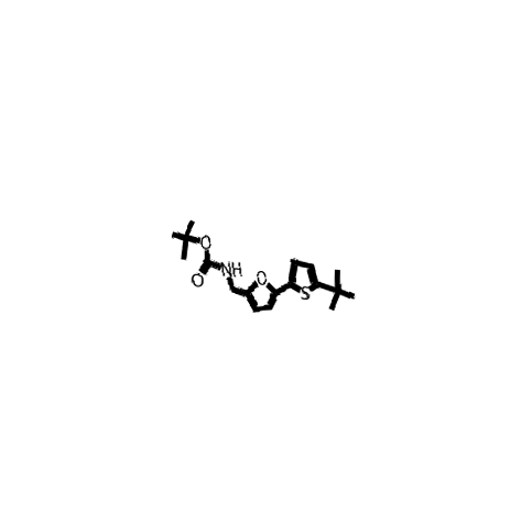 CC(C)(C)OC(=O)NCc1ccc(-c2ccc(C(C)(C)C)s2)o1